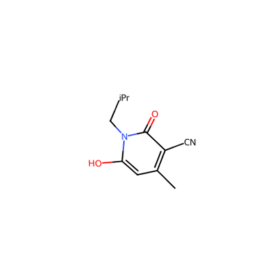 Cc1cc(O)n(CC(C)C)c(=O)c1C#N